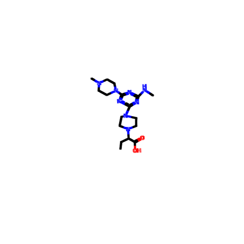 CCC(C(=O)O)N1CCN(c2nc(NC)nc(N3CCN(C)CC3)n2)CC1